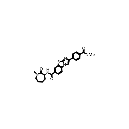 CNC(=O)c1ccc(-c2cn3c(n2)sc2cc(C(=O)N[C@H]4CCCCN(C)C4=O)ccc23)cc1